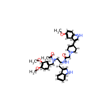 COc1ccc2[nH]cc(C3=CCN(CC(=O)N[C@H](Cc4c[nH]c5ccccc45)CN(Cc4ccc(OC)c(OC)c4)C(C)=O)CC3)c2c1